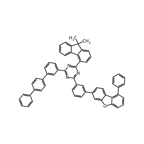 CC1(C)c2ccccc2-c2c(-c3nc(-c4cccc(-c5ccc(-c6ccccc6)cc5)c4)nc(-c4cccc(-c5ccc6c(c5)oc5cccc(-c7ccccc7)c56)c4)n3)cccc21